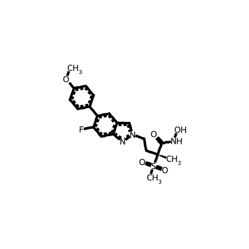 COc1ccc(-c2cc3cn(CC[C@](C)(C(=O)NO)S(C)(=O)=O)nc3cc2F)cc1